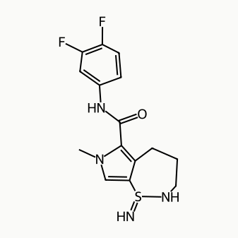 Cn1cc2c(c1C(=O)Nc1ccc(F)c(F)c1)CCCNS2=N